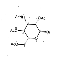 CC(=O)N[C@@H]1[C@H](OC(C)=O)[C@@H](Br)O[C@H](COC(C)=O)[C@H]1OC(C)=O